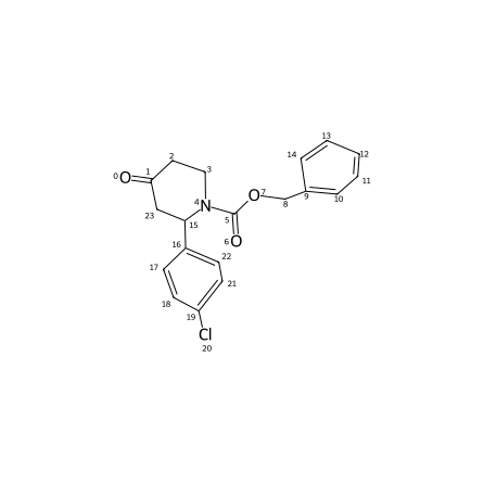 O=C1CCN(C(=O)OCc2ccccc2)C(c2ccc(Cl)cc2)C1